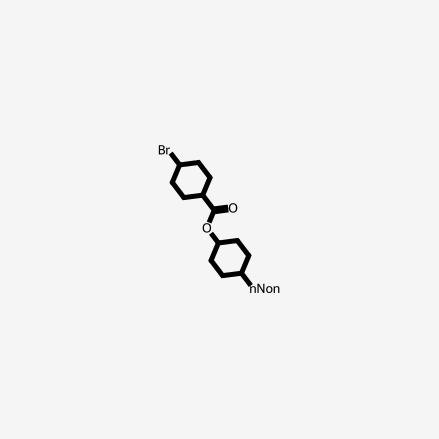 CCCCCCCCCC1CCC(OC(=O)C2CCC(Br)CC2)CC1